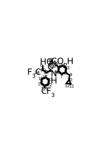 C[C@H]([C@H](C(=O)Nc1cc(CC2CC2)ccc1Cl)c1ccc(C(F)(F)F)cc1)C(F)(F)F.O=C(O)O